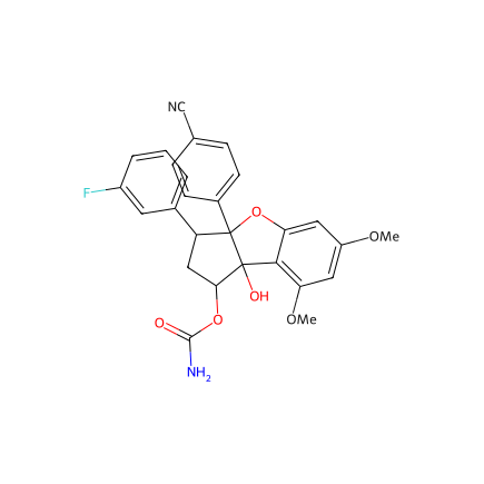 COc1cc(OC)c2c(c1)OC1(c3ccc(C#N)cc3)C(c3cccc(F)c3)CC(OC(N)=O)C21O